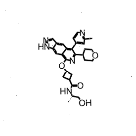 Cc1cc(-c2c(C3CCOCC3)nc(OC3CC(C(=O)N[C@@H](C)CO)C3)c3cc4[nH]ncc4cc23)ccn1